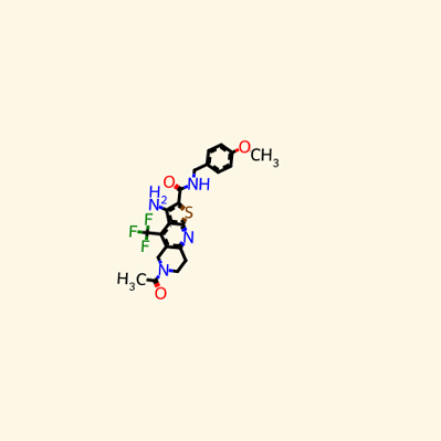 COc1ccc(CNC(=O)c2sc3nc4c(c(C(F)(F)F)c3c2N)CN(C(C)=O)CC4)cc1